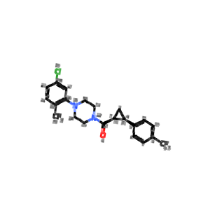 O=C([C@H]1C[C@H]1c1ccc(C(F)(F)F)cc1)N1CCN(c2cc(Cl)ccc2C(F)(F)F)CC1